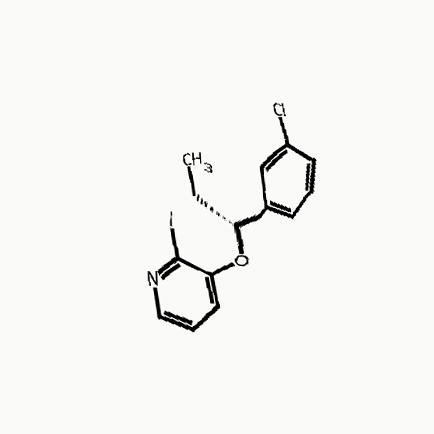 CC[C@@H](Oc1cccnc1I)c1cccc(Cl)c1